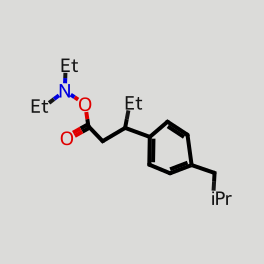 CCC(CC(=O)ON(CC)CC)c1ccc(CC(C)C)cc1